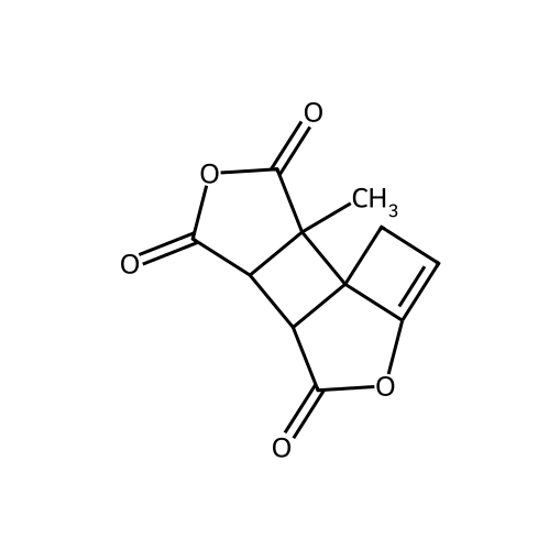 CC12C(=O)OC(=O)C1C1C(=O)OC3=CCC312